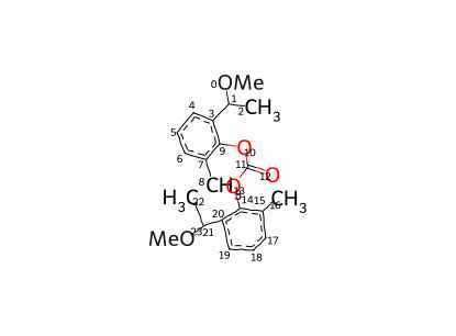 COC(C)c1cccc(C)c1OC(=O)Oc1c(C)cccc1C(C)OC